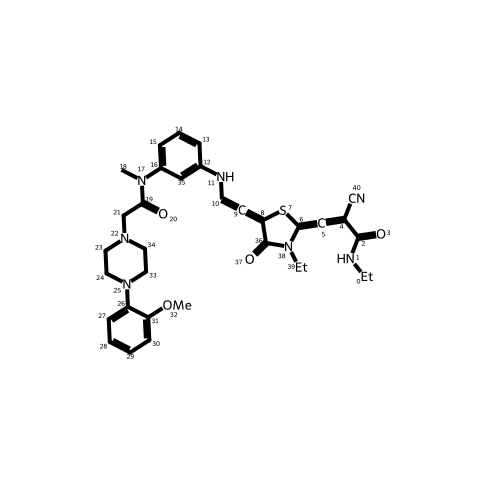 CCNC(=O)C(=C=c1sc(=C=CNc2cccc(N(C)C(=O)CN3CCN(c4ccccc4OC)CC3)c2)c(=O)n1CC)C#N